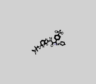 CN(C)C(C)(C)COc1ccc2nc(NC(=O)/C(=N/N3CCCC3)c3ccc(S(C)(=O)=O)cc3)sc2n1